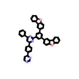 c1ccc(-c2cc(-c3ccc(-c4ccncn4)cc3)nc(-c3cc(-c4ccc5oc6ccccc6c5c4)cc(-c4ccc5oc6ccccc6c5c4)c3)n2)cc1